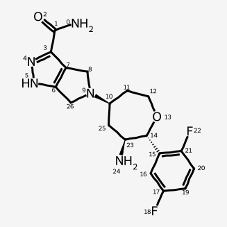 NC(=O)c1n[nH]c2c1CN([C@H]1CCO[C@H](c3cc(F)ccc3F)[C@@H](N)C1)C2